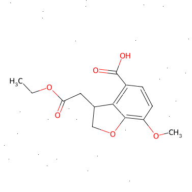 CCOC(=O)CC1COc2c(OC)ccc(C(=O)O)c21